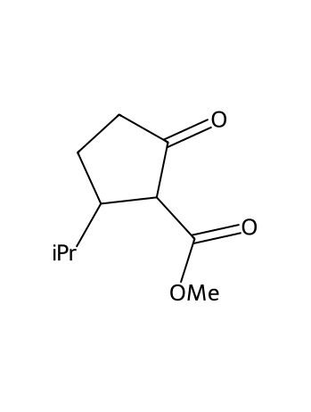 COC(=O)C1C(=O)CCC1C(C)C